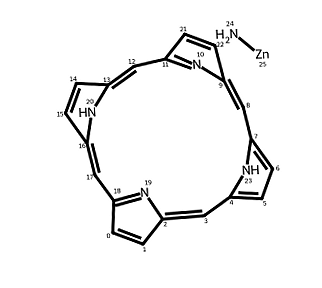 C1=Cc2cc3ccc(cc4nc(cc5ccc(cc1n2)[nH]5)C=C4)[nH]3.[NH2][Zn]